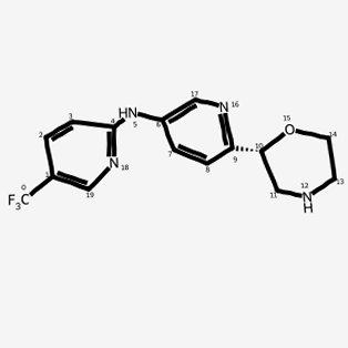 FC(F)(F)c1ccc(Nc2ccc([C@H]3CNCCO3)nc2)nc1